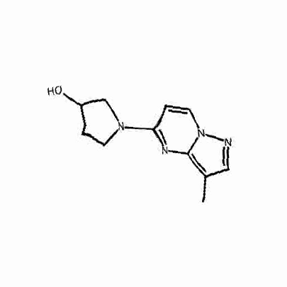 Cc1cnn2ccc(N3CCC(O)C3)nc12